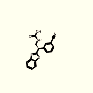 N#Cc1cccc([C@H](CNC(=O)O)c2nc3ccccc3s2)c1